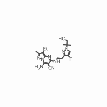 CCc1c(C)nn2c(N)c(C#N)c(NCCc3nn(C(C)(C)CO)cc3F)nc12